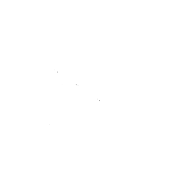 CCOC(=NC(=O)N1CCCCC1)N1Cc2ccccc2-c2ccccc2C1